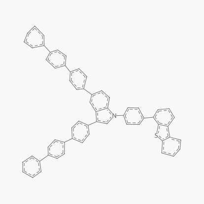 c1ccc(-c2ccc(-c3ccc(-c4ccc5c(c4)c(-c4ccc(-c6ccc(-c7ccccc7)cc6)cc4)cn5-c4ccc(-c5cccc6c5sc5ccccc56)cc4)cc3)cc2)cc1